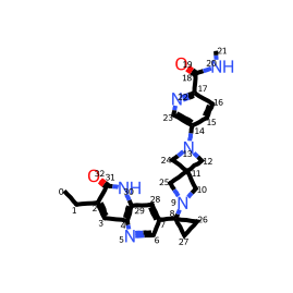 CCc1cc2ncc(C3(N4CC5(CN(c6ccc(C(=O)NC)nc6)C5)C4)CC3)cc2[nH]c1=O